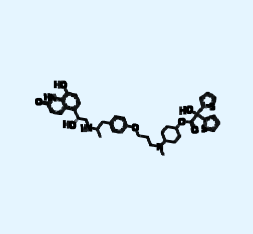 CC(Cc1ccc(OCCCN(C)C2CCC(OC(=O)C(O)(c3cccs3)c3cccs3)CC2)cc1)NC[C@H](O)c1ccc(O)c2[nH]c(=O)ccc12